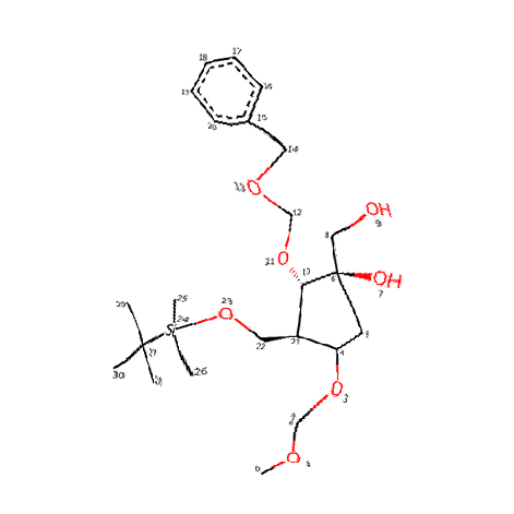 COCOC1C[C@@](O)(CO)[C@@H](OCOCc2ccccc2)[C@@H]1CO[Si](C)(C)C(C)(C)C